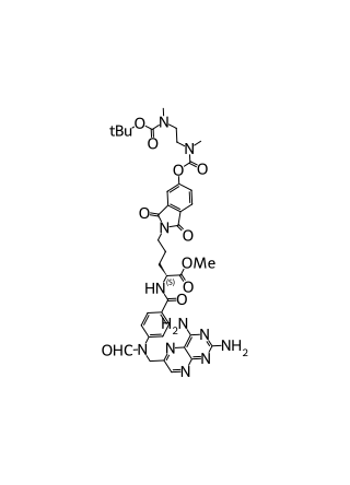 COC(=O)[C@H](CCCN1C(=O)c2ccc(OC(=O)N(C)CCN(C)C(=O)OC(C)(C)C)cc2C1=O)NC(=O)c1ccc(N(C=O)Cc2cnc3nc(N)nc(N)c3n2)cc1